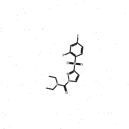 CCN(CC)C(=O)n1ccc(S(=O)(=O)c2ccc(F)cc2F)n1